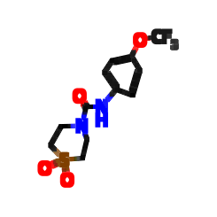 O=C(Nc1ccc(OC(F)(F)F)cc1)N1CCS(=O)(=O)CC1